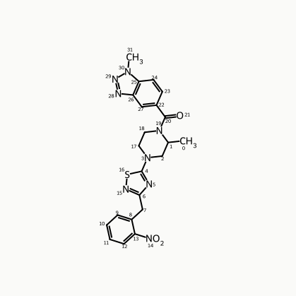 CC1CN(c2nc(Cc3ccccc3[N+](=O)[O-])ns2)CCN1C(=O)c1ccc2c(c1)nnn2C